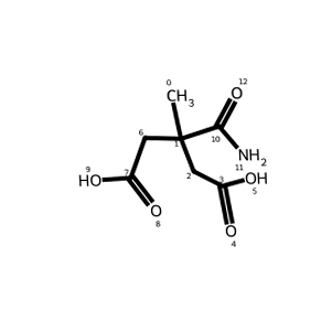 CC(CC(=O)O)(CC(=O)O)C(N)=O